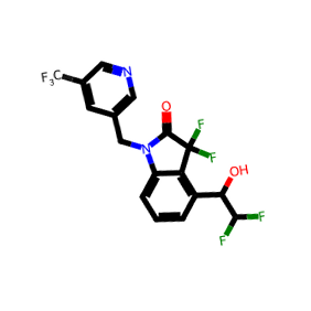 O=C1N(Cc2cncc(C(F)(F)F)c2)c2cccc(C(O)C(F)F)c2C1(F)F